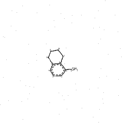 [SiH3]c1cccc2c1CCCC2